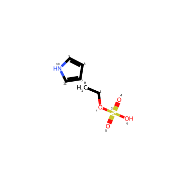 CCOS(=O)(=O)O.c1cc[nH]c1